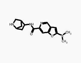 CN(C)c1cc2cnc(C(=O)NC3CC4CC3CN4)cc2o1